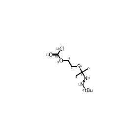 CC(C)(C)N=NC(C)(C)SCCOC(=O)Cl